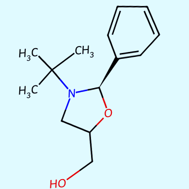 CC(C)(C)N1CC(CO)O[C@@H]1c1ccccc1